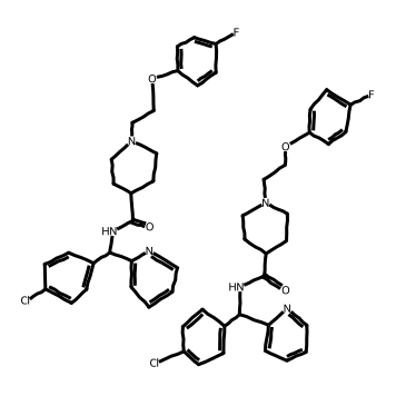 O=C(NC(c1ccc(Cl)cc1)c1ccccn1)C1CCN(CCOc2ccc(F)cc2)CC1.O=C(NC(c1ccc(Cl)cc1)c1ccccn1)C1CCN(CCOc2ccc(F)cc2)CC1